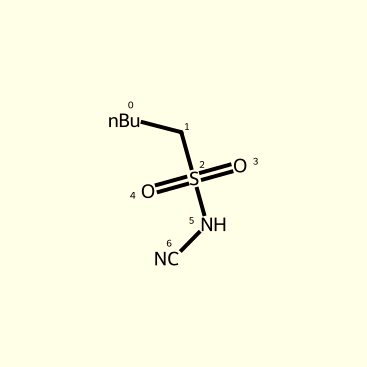 CCCCCS(=O)(=O)NC#N